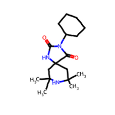 CC1(C)CC2(CC(C)(C)N1)NC(=O)N(C1CCCCC1)C2=O